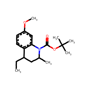 CCC1CC(C)N(C(=O)OC(C)(C)C)c2cc(OC)ccc21